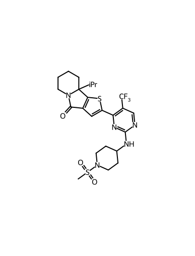 CC(C)C12CCCCN1C(=O)c1cc(-c3nc(NC4CCN(S(C)(=O)=O)CC4)ncc3C(F)(F)F)sc12